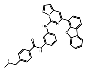 CNCc1ccc(C(=O)Nc2cccc(Nc3nc(-c4cccc5c4oc4ccccc45)cc4ccnn34)c2)cc1